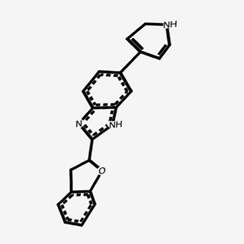 C1=CC(c2ccc3nc(C4Cc5ccccc5O4)[nH]c3c2)=CCN1